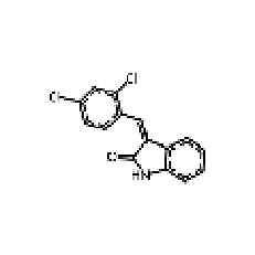 O=C1Nc2ccccc2C1=Cc1ccc(Cl)cc1Cl